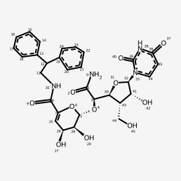 NC(=O)[C@H](O[C@H]1OC(C(=O)NCC(c2ccccc2)c2ccccc2)=C[C@H](O)[C@@H]1O)[C@H]1O[C@@H](n2ccc(=O)[nH]c2=O)[C@H](O)[C@@H]1CO